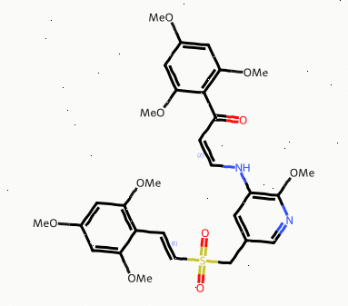 COc1cc(OC)c(/C=C/S(=O)(=O)Cc2cnc(OC)c(N/C=C\C(=O)c3c(OC)cc(OC)cc3OC)c2)c(OC)c1